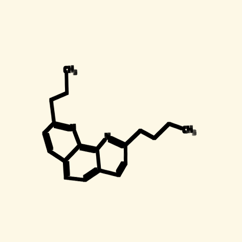 CCCCc1ccc2ccc3ccc(CCC)nc3c2n1